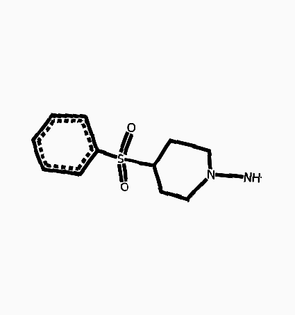 [NH]N1CCC(S(=O)(=O)c2ccccc2)CC1